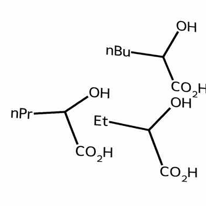 CCC(O)C(=O)O.CCCC(O)C(=O)O.CCCCC(O)C(=O)O